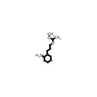 COC(C)OCCCC1CCCCC1C